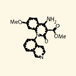 COC(=O)c1c(N)c2ccc(OC)cc2n(-c2cccc3cnccc23)c1=O